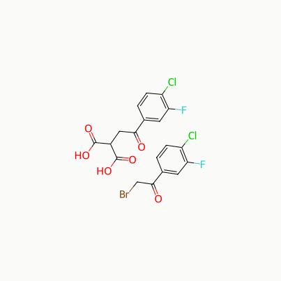 O=C(CBr)c1ccc(Cl)c(F)c1.O=C(CC(C(=O)O)C(=O)O)c1ccc(Cl)c(F)c1